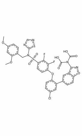 COc1ccc(CN(c2ncns2)S(=O)(=O)c2ccc(Oc3ccc(Cl)cc3-c3ccc4onc(N(C(=O)O)C(=O)O)c4c3)c(F)c2F)c(OC)c1